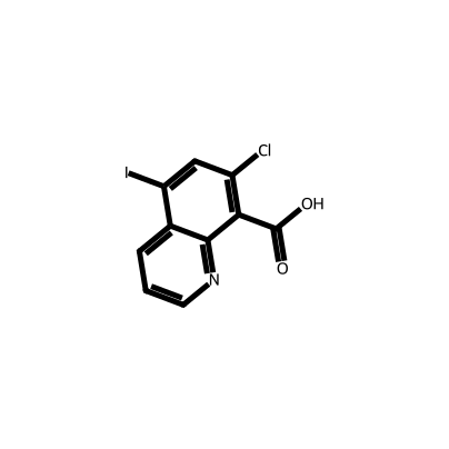 O=C(O)c1c(Cl)cc(I)c2cccnc12